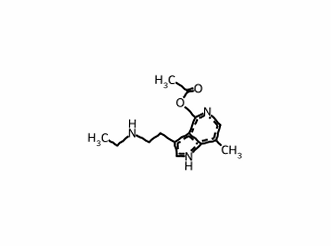 CCNCCc1c[nH]c2c(C)cnc(OC(C)=O)c12